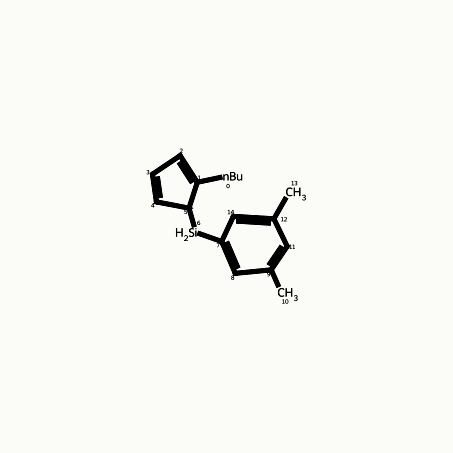 CCCCC1=CC=C[C]1[SiH2]c1cc(C)cc(C)c1